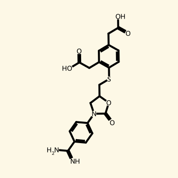 N=C(N)c1ccc(N2CC(CSc3ccc(CC(=O)O)cc3CC(=O)O)OC2=O)cc1